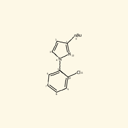 CCCCc1c[c]n(-c2ccccc2Cl)n1